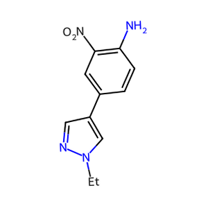 CCn1cc(-c2ccc(N)c([N+](=O)[O-])c2)cn1